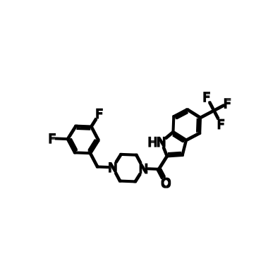 O=C(c1cc2cc(C(F)(F)F)ccc2[nH]1)N1CCN(Cc2cc(F)cc(F)c2)CC1